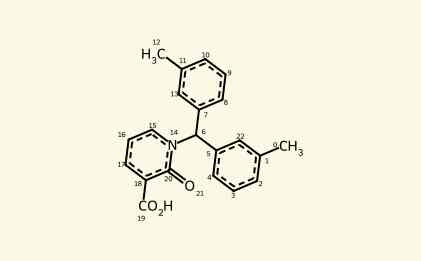 Cc1cccc(C(c2cccc(C)c2)n2cccc(C(=O)O)c2=O)c1